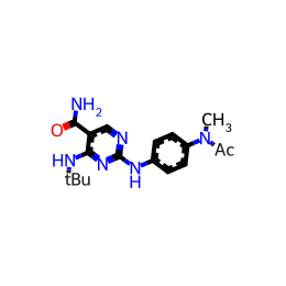 CC(=O)N(C)c1ccc(Nc2ncc(C(N)=O)c(NC(C)(C)C)n2)cc1